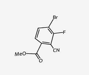 COC(=O)c1ccc(Br)c(F)c1C#N